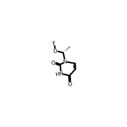 C[C@@H](OF)n1ccc(=O)[nH]c1=O